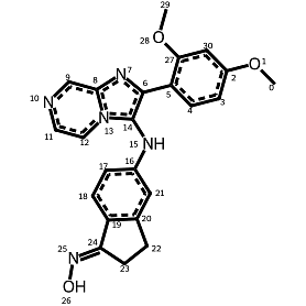 COc1ccc(-c2nc3cnccn3c2Nc2ccc3c(c2)CC/C3=N\O)c(OC)c1